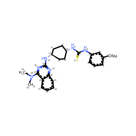 COc1cccc(NC(=S)N[C@H]2CC[C@@H](Nc3nc(N(C)C)c4ccccc4n3)CC2)c1